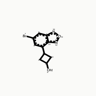 OC1CC(c2cc(Br)cc3nonc23)C1